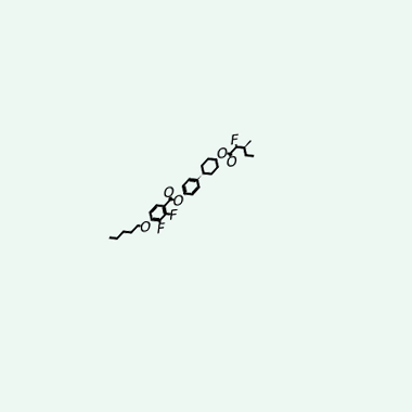 CCCCCOc1ccc(C(=O)Oc2ccc([C@H]3CC[C@H](OC(=O)[C@@H](F)[C@@H](C)CC)CC3)cc2)c(F)c1F